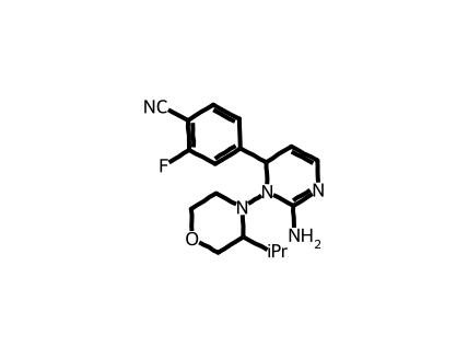 CC(C)C1COCCN1N1C(N)=NC=CC1c1ccc(C#N)c(F)c1